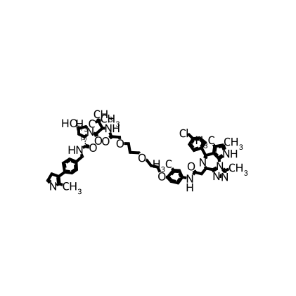 CC1=C(c2ccc(CNC(=O)[C@@H]3C[C@@H](O)CN3C(=O)C(NC(=O)COCCCOCCCOc3ccc(NC(=O)CC4N=C(c5ccc(Cl)cc5)c5c([nH]c(C)c5C)-n5c(C)nnc54)cc3C)C(C)(C)C)cc2)CC=N1